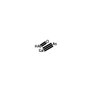 [Ga]#[As].[O]=[AlH]